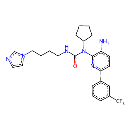 Nc1ccc(-c2cccc(C(F)(F)F)c2)nc1N(C(=O)NCCCCn1ccnc1)C1CCCC1